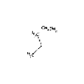 C.CCC.[SiH4]